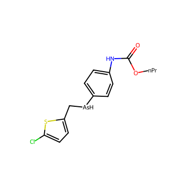 CCCOC(=O)Nc1ccc([AsH]Cc2ccc(Cl)s2)cc1